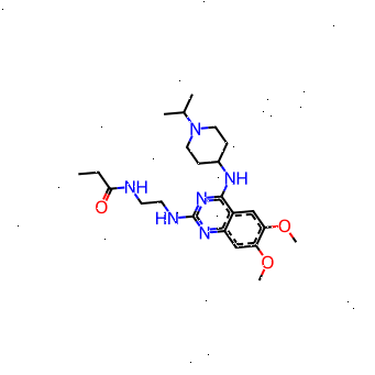 CCC(=O)NCCNc1nc(NC2CCN(C(C)C)CC2)c2cc(OC)c(OC)cc2n1